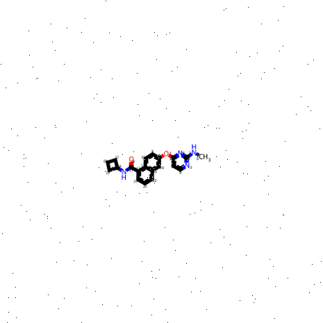 CNc1nccc(Oc2ccc3c(C(=O)NC4CCC4)cccc3c2)n1